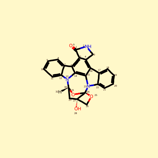 O=C1NCc2c1c1c3ccccc3n3c1c1c2c2ccccc2n1[C@]12OC[C@@]1(O)C[C@H]3O2